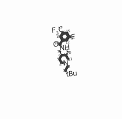 CC(C)(C)CCN1CC[C@@H](CNC(=O)c2cc(F)cc(C(F)(F)F)c2)[C@@H](F)C1